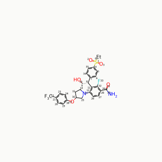 CCS(=O)(=O)c1ccc([C@@H](CO)c2c(N3CCC(Oc4ccc(C(F)(F)F)cc4)C3)ccc(C(N)=O)c2F)cc1